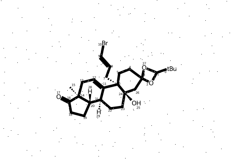 CC(C)(C)C1OC2(CC[C@]3(CC=CBr)C4=CC[C@]5(C)C(=O)CC[C@H]5[C@@H]4CC[C@@]3(O)C2)O1